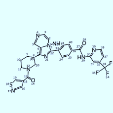 N[N+]12C=CN=CC1=C([C@@H]1CCCN(C(=O)c3cnsc3)C1)N=C2c1ccc(C(=O)Nc2cc(C(F)(F)F)ccn2)cc1